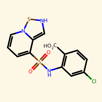 O=C(O)c1ccc(Cl)cc1NS(=O)(=O)C1=CC=CN2SNC=C12